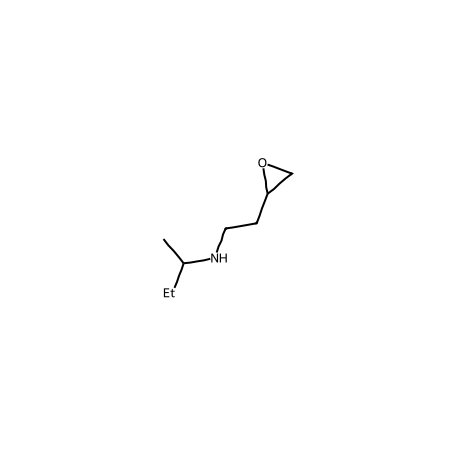 CCC(C)NCCC1CO1